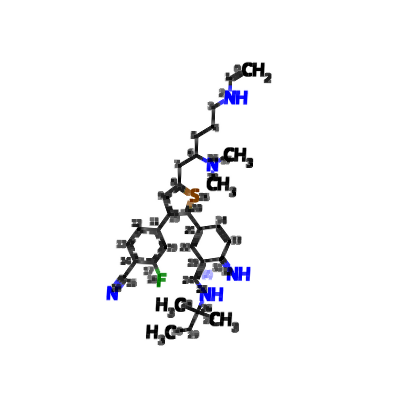 C=CNCCCC(Cc1cc(-c2ccc(C#N)c(F)c2)c(C2=C/C(=C/NC(C)(C)CC)C(=N)C=C2)s1)N(C)C